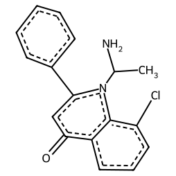 CC(N)n1c(-c2ccccc2)cc(=O)c2cccc(Cl)c21